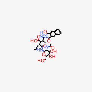 CCC[C@H](C(=O)NC1O[C@H](CO)[C@@H](O)[C@@H](O)[C@H]1NC(C)=O)[C@H](C(=O)O)C(C)C(N)N1C(=O)c2cc3ccccc3cc2C1=O